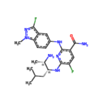 CC(C)C[C@@H](Nc1nc(Nc2ccc3c(c2)c(F)nn3C)c(C(N)=O)cc1F)[C@H](C)N